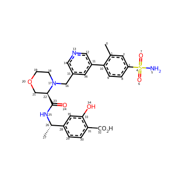 Cc1cc(S(N)(=O)=O)ccc1-c1cncc(CN2CCOC[C@@H]2C(=O)N[C@@H](C)c2ccc(C(=O)O)c(O)c2)c1